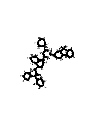 CC1(C)c2ccccc2-c2ccc(-c3nc(-c4ccccc4)cc(-c4ccc(-c5nc6ccccc6c6c5sc5ccccc56)c5ccccc45)n3)cc21